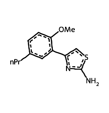 CCCc1ccc(OC)c(-c2csc(N)n2)c1